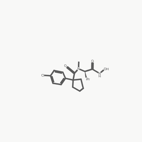 CC(C)[C@H](C(=O)NO)N(C)C(=O)C1(c2ccc(Cl)cc2)CCCC1